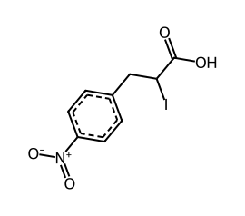 O=C(O)C(I)Cc1ccc([N+](=O)[O-])cc1